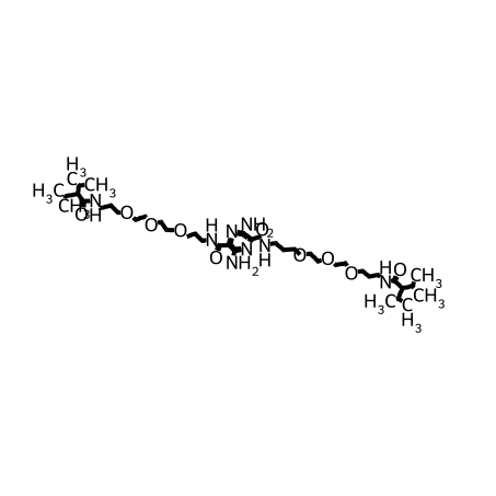 CC(C)C(C(=O)NCCCOCCOCCOCCCNC(=O)c1nc(N)c(C(=O)NCCCOCCOCCOCCCNC(=O)C(C(C)C)C(C)C)nc1N)C(C)C